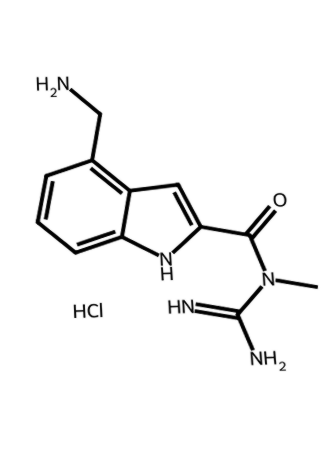 CN(C(=N)N)C(=O)c1cc2c(CN)cccc2[nH]1.Cl